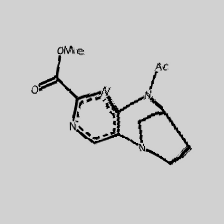 COC(=O)c1ncc2c(n1)N(C(C)=O)C1CCN2C1